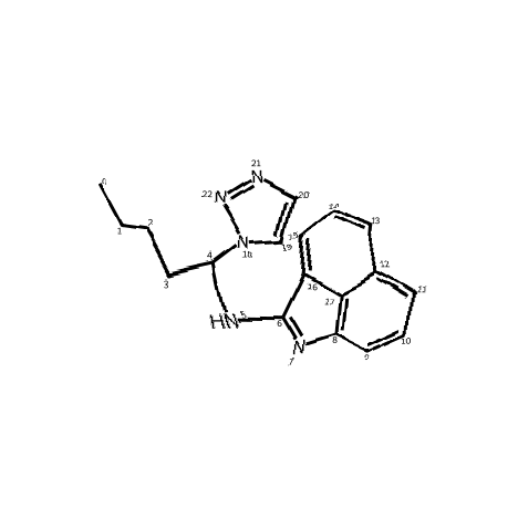 CCCCC(NC1=Nc2cccc3cccc1c23)n1ccnn1